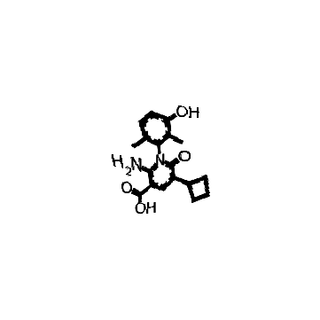 Cc1ccc(O)c(C)c1-n1c(N)c(C(=O)O)cc(C2CCC2)c1=O